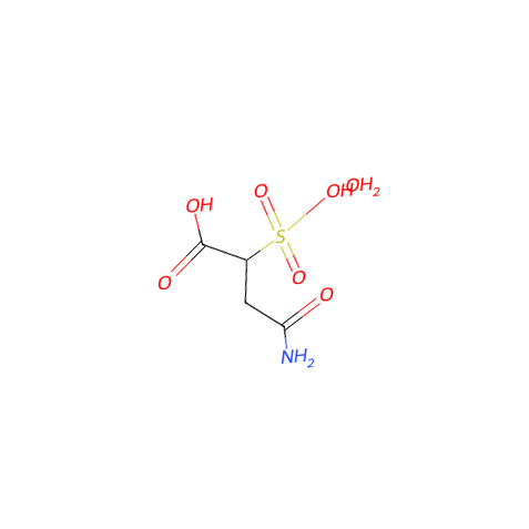 NC(=O)CC(C(=O)O)S(=O)(=O)O.O